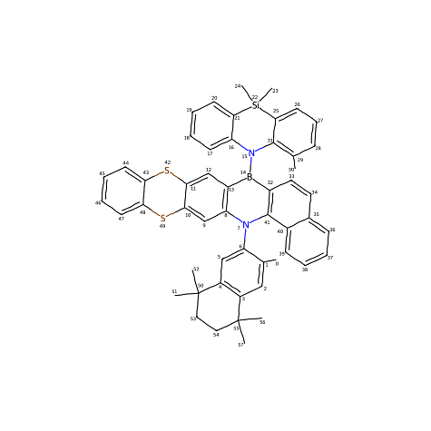 Cc1cc2c(cc1N1c3cc4c(cc3B(N3c5ccccc5[Si](C)(C)c5cccc(C)c53)c3ccc5ccccc5c31)Sc1ccccc1S4)C(C)(C)CCC2(C)C